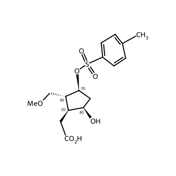 COC[C@H]1[C@H](CC(=O)O)[C@H](O)C[C@@H]1OS(=O)(=O)c1ccc(C)cc1